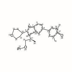 Cc1cc(-c2ccc3nc(C4CCOCC4)n([C@@H](C)COC(C)C)c3c2)cn(C)c1=O